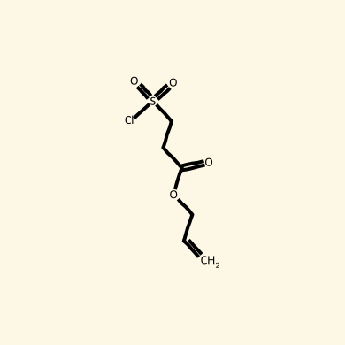 C=CCOC(=O)CCS(=O)(=O)Cl